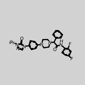 CC(C)n1ncn(-c2ccc(N3CCN(C(C(=O)Nc4ccc(F)cc4F)c4ccccc4)CC3)cc2)c1=O